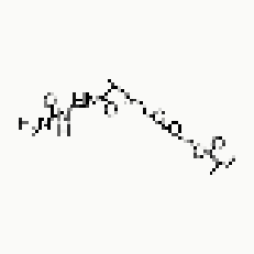 CCC(C)C(=O)OCCOCOCCSCC(C)C(=O)NCCNC(N)=O